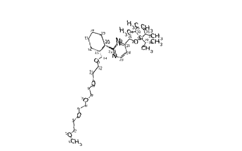 COCCOCCOCCOCCOC[C@@H]1CCCC[C@H]1c1nccc(CO[Si](C(C)C)(C(C)C)C(C)C)n1